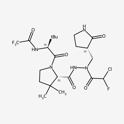 CC(C)(C)[C@H](NC(=O)C(F)(F)F)C(=O)N1CCC(C)(C)[C@H]1C(=O)NN(C[C@@H]1CCNC1=O)C(=O)C(F)Cl